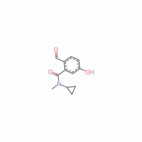 CN(C(=O)c1cc(O)ccc1C=O)C1CC1